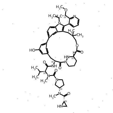 CCn1c(-c2cccnc2[C@H](C)OC)c2c3cc(ccc31)-c1cc(O)cc(c1)C[C@H](NC(=O)[C@H](C(C)C)N(C)C(=O)N1CC[C@H](N(C)C(=O)[C@@H]3CN3)C1)C(=O)N1CCC[C@H](N1)C(=O)OCC(C)(C)C2